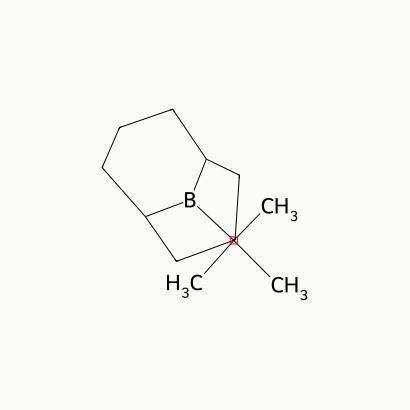 CC(C)(C)B1C2CCCC1CCC2